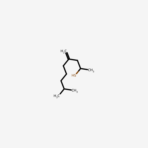 C=C(CCCC(C)C)CC(C)S